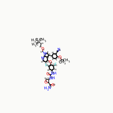 CC(C)Oc1ccc(-c2cn(COCC[Si](C)(C)C)c3nccc(Oc4c(F)cc(NC(=O)NC5COC5C(N)=O)cc4F)c23)cc1C#N